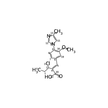 CCC(Cl)C(=Cc1ccc(-n2cnc(C)c2)c(OC)c1)C(=O)O